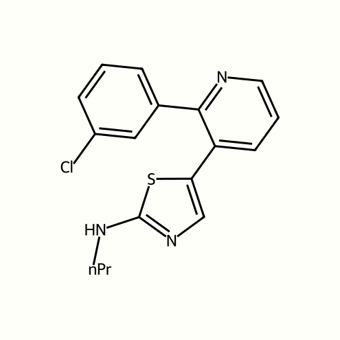 CCCNc1ncc(-c2cccnc2-c2cccc(Cl)c2)s1